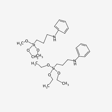 CCO[Si](CCCNc1ccccc1)(OCC)OCC.CO[Si](CCCNc1ccccc1)(OC)OC